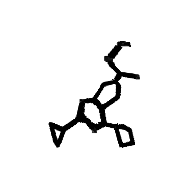 CC(C)(C)OC(=O)N1Cc2nc(C3CC3)nc(N3CCC3)c2C1